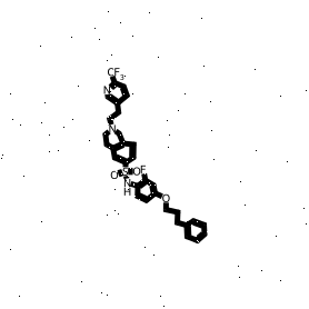 O=S(=O)(Nc1ccc(OCCCc2ccccc2)cc1F)c1ccc2c(c1)CCN(CCc1ccc(C(F)(F)F)nc1)C2